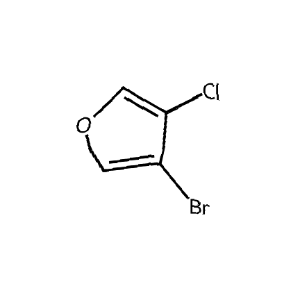 Clc1cocc1Br